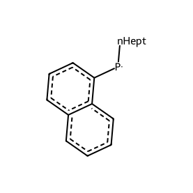 CCCCCCC[P]c1cccc2ccccc12